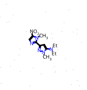 CCN(CC)c1cc(-c2ncc([N+](=O)[O-])n2C)nn1C